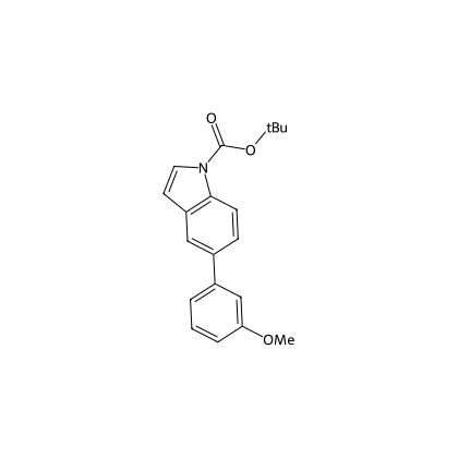 COc1cccc(-c2ccc3c(ccn3C(=O)OC(C)(C)C)c2)c1